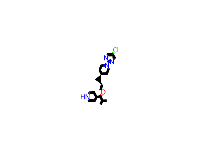 CC(C)C(OCC[C@@H]1C[C@@H]1C1CCN(c2ncc(Cl)cn2)CC1)C1CCNCC1